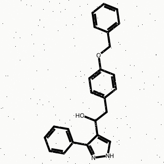 OC(Cc1ccc(OCc2ccccc2)cc1)c1c[nH]nc1-c1ccccc1